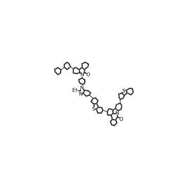 CCc1nc2cc(-c3ccc4c(c3)sc3ccc(-c5cc6c7ccccc7c(=O)n7c8ccc(-c9ccc%10sc%11ccccc%11c%10c9)cc8c(c5)c67)cc34)ccc2n1-c1ccc(-n2c(=O)c3ccccc3c3cc(-c4cccc(-c5ccccc5)c4)ccc32)cc1